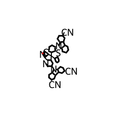 N#Cc1ccc2c(c1)c1cc(C#N)ccc1n2-c1cnc2c(c1)C1(c3ccccc3Sc3c(-n4c5ccccc5c5cc(C#N)ccc54)cccc31)c1cccnc1-2